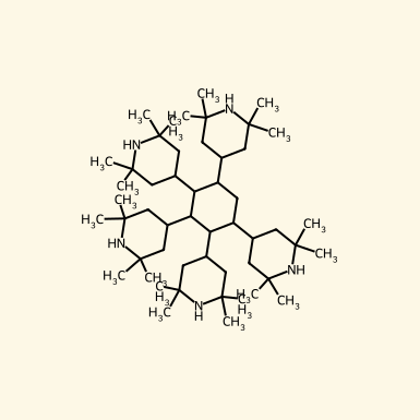 CC1(C)CC(C2CC(C3CC(C)(C)NC(C)(C)C3)C(C3CC(C)(C)NC(C)(C)C3)C(C3CC(C)(C)NC(C)(C)C3)C2C2CC(C)(C)NC(C)(C)C2)CC(C)(C)N1